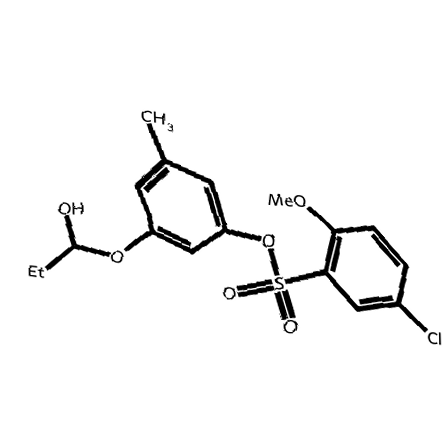 CCC(O)Oc1cc(C)cc(OS(=O)(=O)c2cc(Cl)ccc2OC)c1